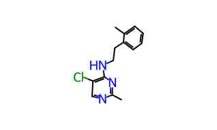 Cc1ncc(Cl)c(NCCc2ccccc2C)n1